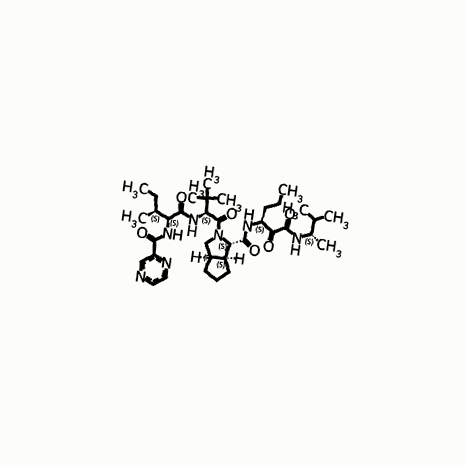 CCC[C@H](NC(=O)[C@@H]1[C@H]2CCC[C@H]2CN1C(=O)[C@@H](NC(=O)[C@@H](NC(=O)c1cnccn1)[C@@H](C)CC)C(C)(C)C)C(=O)C(=O)N[C@@H](C)C(C)C